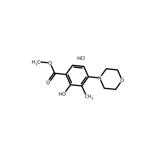 COC(=O)c1ccc(N2CCOCC2)c(C)c1O.Cl